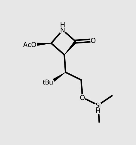 CC(=O)O[C@H]1NC(=O)[C@H]1[C@@H](CO[SiH](C)C)C(C)(C)C